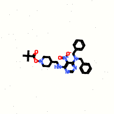 CC(C)(C)C(=O)ON1CCC(CNc2ncnc(N(Cc3ccccc3)Cc3ccccc3)c2[N+](=O)[O-])CC1